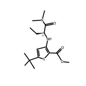 CC[C@H](Nc1cc(C(C)(C)C)sc1C(=O)OC)C(=O)N(C)C